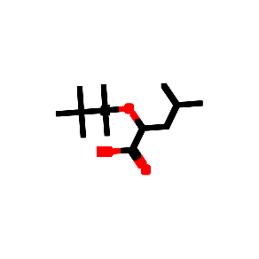 CC(C)CC(O[Si](C)(C)C(C)(C)C)C(=O)O